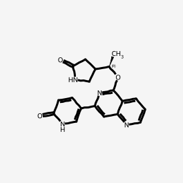 C[C@@H](Oc1nc(-c2ccc(=O)[nH]c2)cc2ncccc12)C1CNC(=O)C1